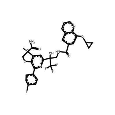 C[C@]1(C(N)=O)COc2c1cc(C(O)(CNC(=O)c1cc(OC3CC3)c3ncccc3c1)C(F)(F)F)nc2-c1ccc(F)cc1